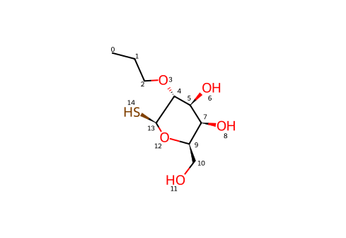 CCCO[C@@H]1[C@@H](O)[C@@H](O)[C@@H](CO)O[C@H]1S